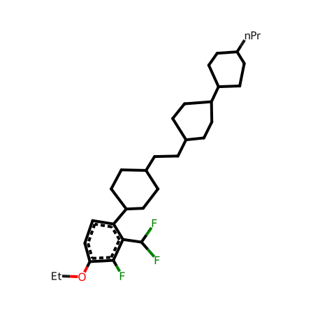 CCCC1CCC(C2CCC(CCC3CCC(c4ccc(OCC)c(F)c4C(F)F)CC3)CC2)CC1